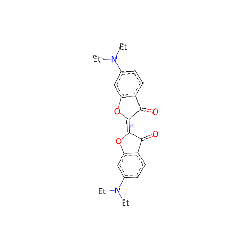 CCN(CC)c1ccc2c(c1)O/C(=C1\Oc3cc(N(CC)CC)ccc3C1=O)C2=O